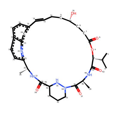 CC(C)[C@H]1OC(=O)CC[C@@H](O)CC/C=C/c2ccc3ccc(nc3c2)[C@@H](C)NC(=O)[C@@H]2CCCN(N2)C(=O)[C@H](C)NC1=O